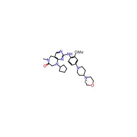 COc1cc(N2CCC(N3CCOCC3)CC2)ccc1Nc1ncc2c(n1)N(C1CCCC1)CC(=O)N(C)C2